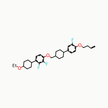 C=CCCOc1ccc(C2CCC(COc3ccc(C4CCC(OCC)CC4)c(F)c3F)CC2)cc1F